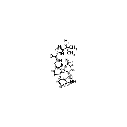 CC(C)(C)c1noc(C(=O)NCc2ccc(-c3ccnc4[nH]nc(N5CCC(N)CC5)c34)cc2F)n1